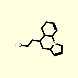 OCCC1CC2C=CCN2C2C=CCCC12